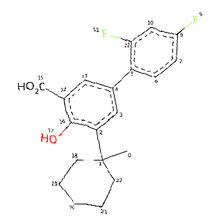 CC1(c2cc(-c3ccc(F)cc3F)cc(C(=O)O)c2O)CCCCC1